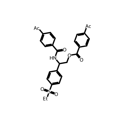 CCS(=O)(=O)c1ccc(C(COC(=O)c2ccc(C(C)=O)cc2)NC(=O)c2ccc(C(C)=O)cc2)cc1